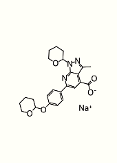 Cc1nn(C2CCCCO2)c2nc(-c3ccc(OC4CCCCO4)cc3)cc(C(=O)[O-])c12.[Na+]